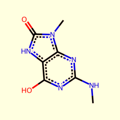 CNc1nc(O)c2[nH]c(=O)n(C)c2n1